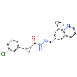 Cc1cc(C=NNC(=O)C2CC2c2cccc(Cl)c2)cc2cccnc12